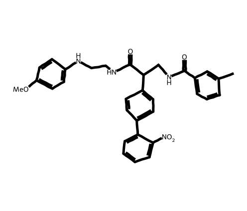 COc1ccc(NCCNC(=O)C(CNC(=O)c2cccc(C)c2)c2ccc(-c3ccccc3[N+](=O)[O-])cc2)cc1